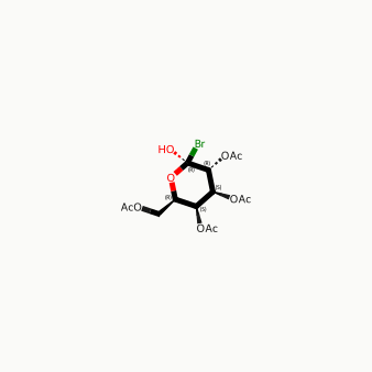 CC(=O)OC[C@H]1O[C@@](O)(Br)[C@H](OC(C)=O)[C@@H](OC(C)=O)[C@H]1OC(C)=O